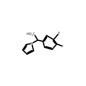 O=C(O)C(c1ccc(F)c(F)c1)n1cccc1